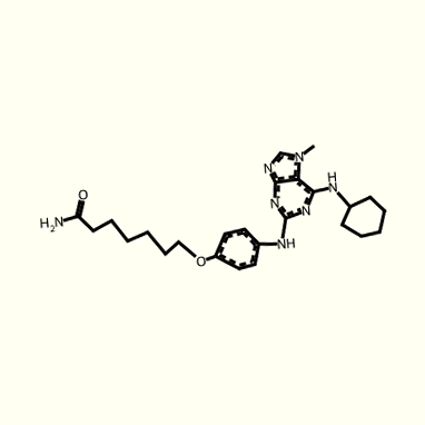 Cn1cnc2nc(Nc3ccc(OCCCCCCC(N)=O)cc3)nc(NC3CCCCC3)c21